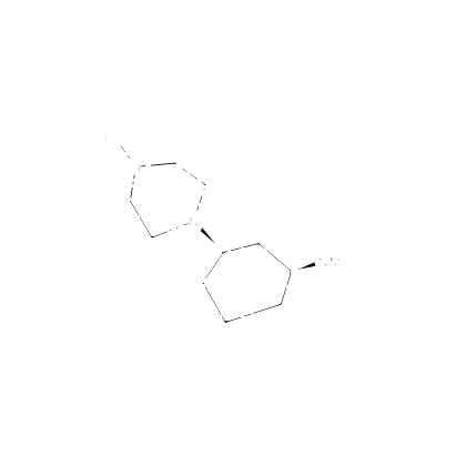 CCN1CCN([C@@H]2CCC[C@H](NC)C2)CC1